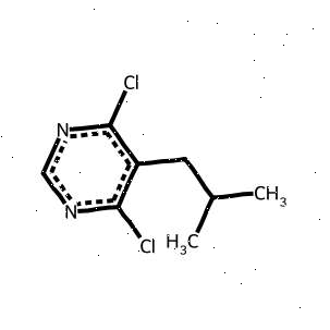 CC(C)Cc1c(Cl)ncnc1Cl